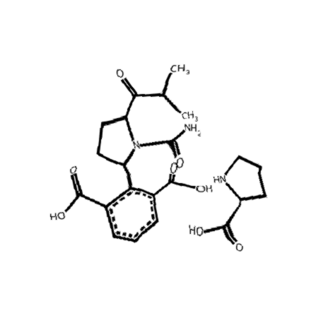 CC(C)C(=O)C1CCC(c2c(C(=O)O)cccc2C(=O)O)N1C(N)=O.O=C(O)[C@@H]1CCCN1